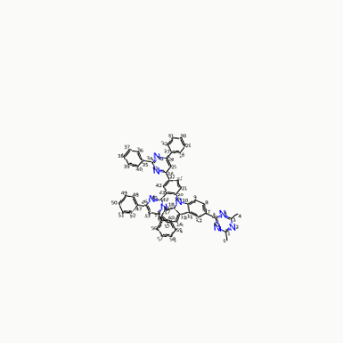 Cc1nc(C)nc(-c2ccc3c(c2)c2ccccc2n3-c2ccc(-c3cc(-c4ccccc4)nc(-c4ccccc4)n3)cc2-c2nc(-c3ccccc3)cc(-c3ccccc3)n2)n1